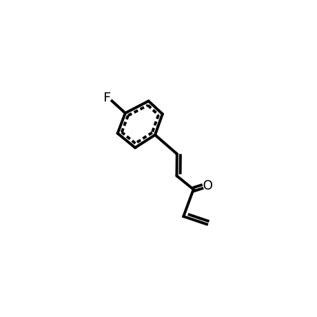 C=CC(=O)C=Cc1ccc(F)cc1